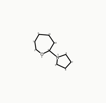 C1CCOC(N2CCCC2)CC1